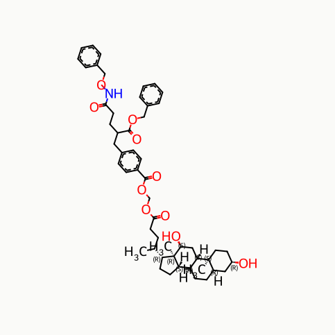 CC(CCC(=O)OCOC(=O)c1ccc(CC(CCC(=O)NOCc2ccccc2)C(=O)OCc2ccccc2)cc1)[C@H]1CC[C@H]2[C@@H]3CC[C@@H]4C[C@H](O)CC[C@]4(C)[C@H]3C[C@H](O)[C@]12C